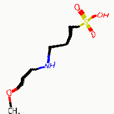 COCCNCCCS(=O)(=O)O